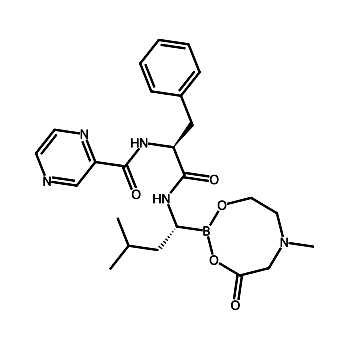 CC(C)C[C@H](NC(=O)[C@H](Cc1ccccc1)NC(=O)c1cnccn1)B1OCCN(C)CC(=O)O1